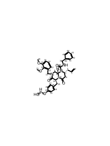 C=CC[C@@H]1CC(=O)N2[C@H](CN(Cc3cccc(OC)c3OC)C(=O)[C@@H]2Cc2ccc(OPO)cc2)N1C(=O)NCc1ccccc1